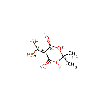 CC1(C)OC(=O)C(=C(S)S)C(=O)O1